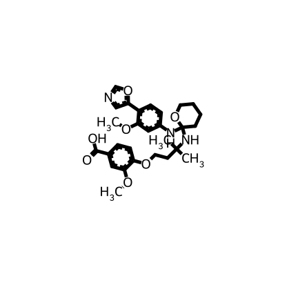 COc1cc(C(=O)O)ccc1OCCC(C)(C)NC1(Nc2ccc(-c3cnco3)c(OC)c2)CCCCO1